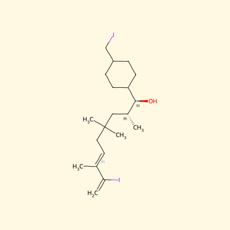 C=C(I)/C(C)=C/CC(C)(C)C[C@@H](C)[C@H](O)C1CCC(CI)CC1